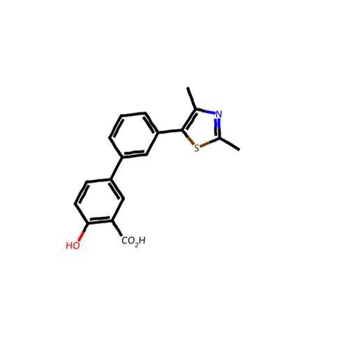 Cc1nc(C)c(-c2cccc(-c3ccc(O)c(C(=O)O)c3)c2)s1